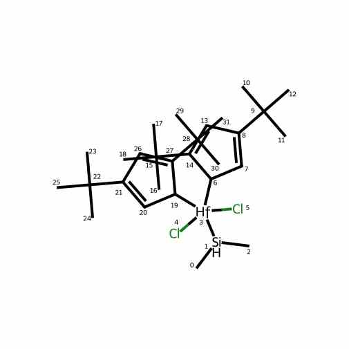 C[SiH](C)[Hf]([Cl])([Cl])([CH]1C=C(C(C)(C)C)C=C1C(C)(C)C)[CH]1C=C(C(C)(C)C)C=C1C(C)(C)C